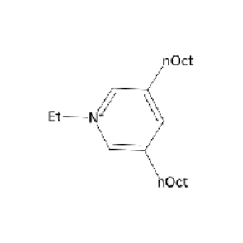 CCCCCCCCc1cc(CCCCCCCC)c[n+](CC)c1